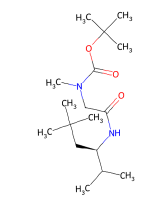 CC(C)[C@@H](CC(C)(C)C)NC(=O)CN(C)C(=O)OC(C)(C)C